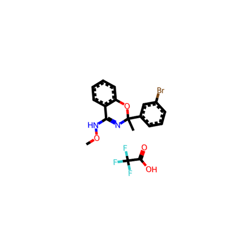 CONC1=NC(C)(c2cccc(Br)c2)Oc2ccccc21.O=C(O)C(F)(F)F